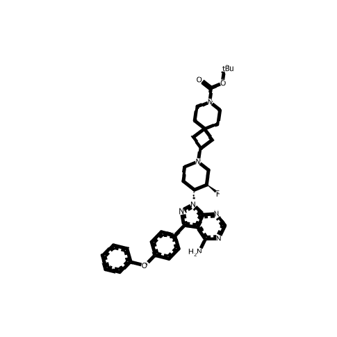 CC(C)(C)OC(=O)N1CCC2(CC1)CC(N1CC[C@@H](n3nc(-c4ccc(Oc5ccccc5)cc4)c4c(N)ncnc43)[C@H](F)C1)C2